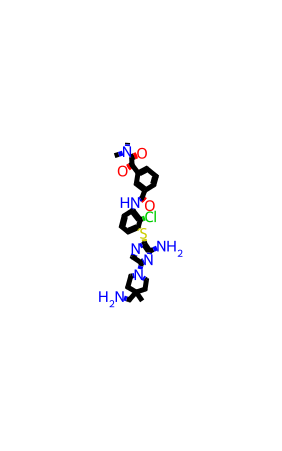 CN(C)C(=O)C(=O)c1cccc(C(=O)Nc2cccc(Sc3ncc(N4CCC(C)(CN)CC4)nc3N)c2Cl)c1